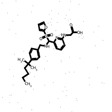 CCCCC(C)(C)c1ccc(CNC(c2cccc(NCC(=O)O)n2)S(=O)(=O)c2ccco2)cc1